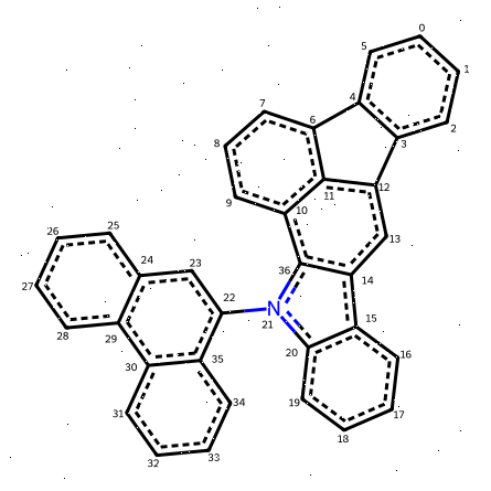 c1ccc2c(c1)-c1cccc3c1c-2cc1c2ccccc2n(-c2cc4ccccc4c4ccccc24)c31